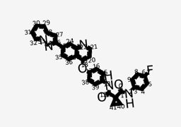 O=C(Nc1ccc(F)cc1)C1(C(=O)Nc2ccc(Oc3ccnc4cc(-c5cc6ccccn6n5)ccc34)cc2)CC1